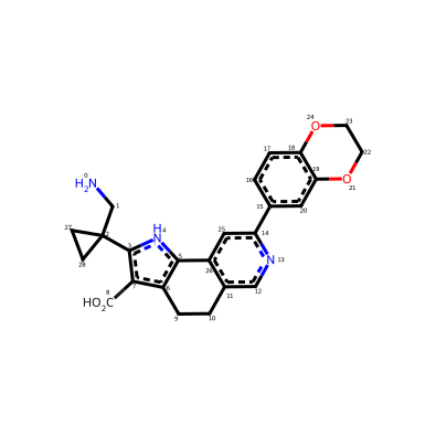 NCC1(c2[nH]c3c(c2C(=O)O)CCc2cnc(-c4ccc5c(c4)OCCO5)cc2-3)CC1